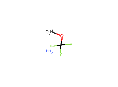 N.O=[N+]([O-])OC(F)(F)F